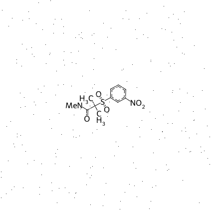 CNC(=O)C(C)(C)S(=O)(=O)c1cccc([N+](=O)[O-])c1